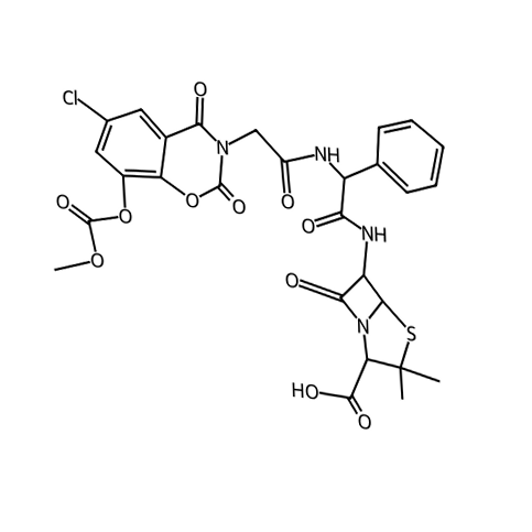 COC(=O)Oc1cc(Cl)cc2c(=O)n(CC(=O)NC(C(=O)NC3C(=O)N4C3SC(C)(C)C4C(=O)O)c3ccccc3)c(=O)oc12